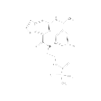 CC(Nc1nc(C(=O)NCCNC(=O)C(C)(C)C)c2sccc2n1)c1cncc(F)c1